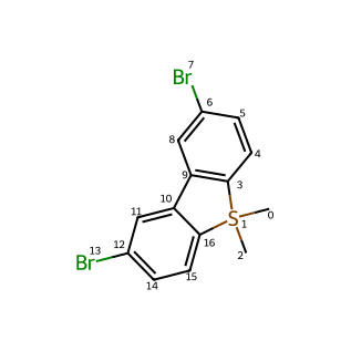 CS1(C)c2ccc(Br)cc2-c2cc(Br)ccc21